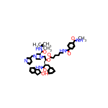 CNC(=O)c1ccc(C(=O)NCCCCCC(=O)O[C@@H](C[C@@H](Cc2ccccc2)C(=O)N[C@H]2c3ccccc3C[C@H]2O)CN2CCN(Cc3cccnc3)C[C@H]2C(=O)NC(C)(C)C)cc1